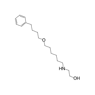 OCCNCCCCCCOCCCCc1ccccc1